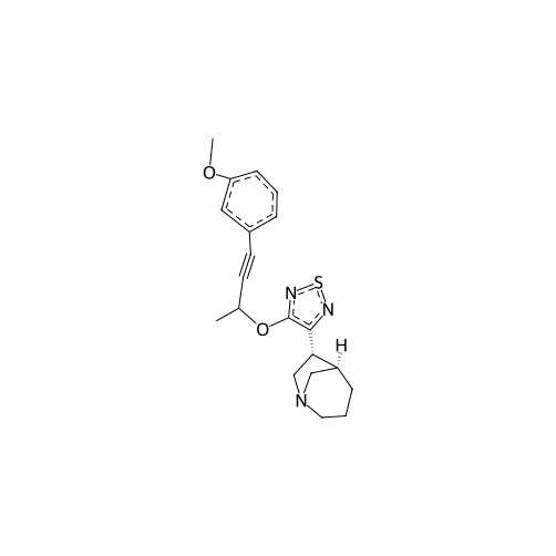 COc1cccc(C#CC(C)Oc2nsnc2[C@H]2CN3CCC[C@H]2C3)c1